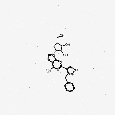 Nc1nc(-c2c[nH]nc2Cc2ccccc2)nc2c1ncn2[C@@H]1O[C@H](CO)[C@@H](O)[C@H]1O